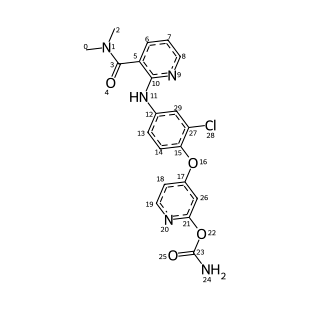 CN(C)C(=O)c1cccnc1Nc1ccc(Oc2ccnc(OC(N)=O)c2)c(Cl)c1